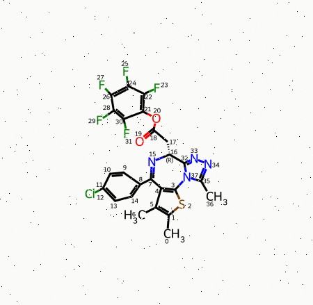 Cc1sc2c(c1C)C(c1ccc(Cl)cc1)=N[C@H](CC(=O)Oc1c(F)c(F)c(F)c(F)c1F)c1nnc(C)n1-2